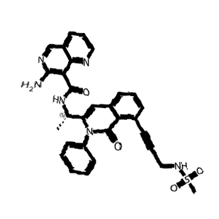 C[C@H](NC(=O)c1c(N)ncc2cccnc12)c1cc2cccc(C#CCNS(C)(=O)=O)c2c(=O)n1-c1ccccc1